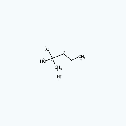 CCCC(C)(C)O.[Hf]